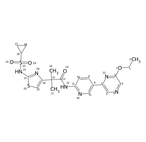 CCOc1cncc(-c2ccc(NC(=O)C(C)(C)c3csc(NS(=O)(=O)C4CC4)n3)nc2)n1